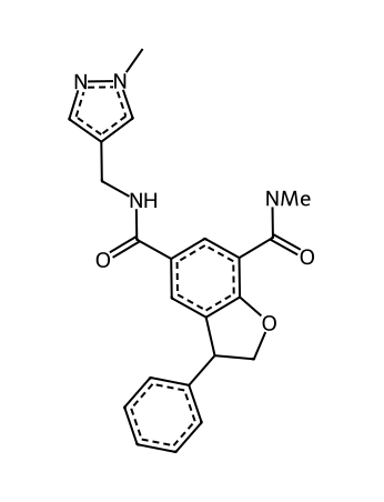 CNC(=O)c1cc(C(=O)NCc2cnn(C)c2)cc2c1OCC2c1ccccc1